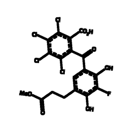 COC(=O)CCc1cc(C(=O)c2c(Cl)c(Cl)c(Cl)c(Cl)c2[14C](=O)O)c(O)c(F)c1O